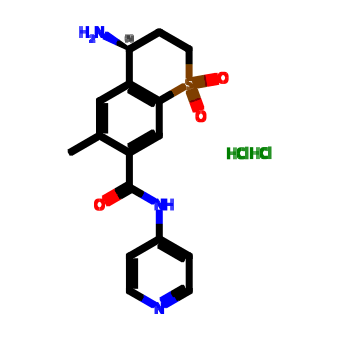 Cc1cc2c(cc1C(=O)Nc1ccncc1)S(=O)(=O)CC[C@@H]2N.Cl.Cl